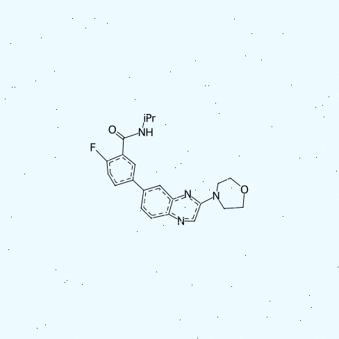 CC(C)NC(=O)c1cc(-c2ccc3ncc(N4CCOCC4)nc3c2)ccc1F